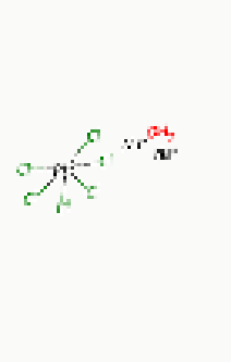 O.[Cl][Pt-2]([Cl])([Cl])([Cl])([Cl])[Cl].[Na+].[Na+]